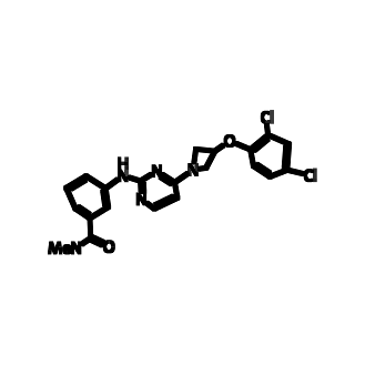 CNC(=O)c1cccc(Nc2nccc(N3CC(Oc4ccc(Cl)cc4Cl)C3)n2)c1